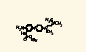 CN(C)CCN(C)C1CCN(c2ccc(N)c(NC(=O)OC(C)(C)C)c2)CC1